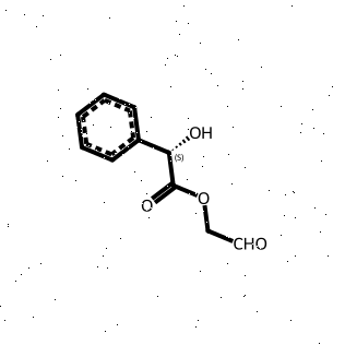 O=CCOC(=O)[C@@H](O)c1ccccc1